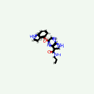 CCCNC(=O)c1c[nH]c2ncc(Oc3cccc4[nH]ccc34)nc12